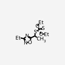 CCOP(=S)(OCC)SC(C)c1nc(CC)no1